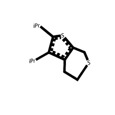 CC(C)c1sc2c(c1C(C)C)CCSC2